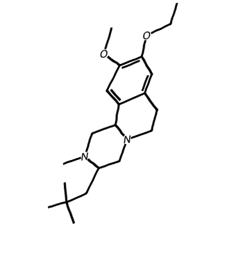 CCOc1cc2c(cc1OC)C1CN(C)C(CC(C)(C)C)CN1CC2